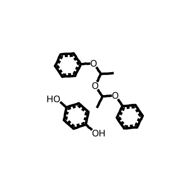 CC(Oc1ccccc1)OC(C)Oc1ccccc1.Oc1ccc(O)cc1